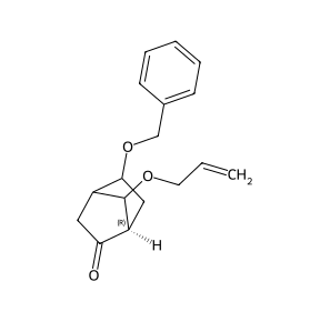 C=CCOC1C2CC(=O)[C@@H]1CC2OCc1ccccc1